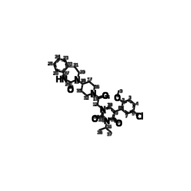 COc1ccc(Cl)cc1-c1cn(CC(=O)N2CCC(N3CCc4ccccc4NC3=O)CC2)c(=O)n(C(C)C)c1=O